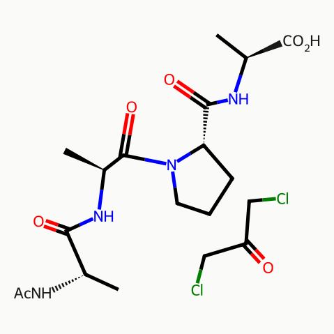 CC(=O)N[C@@H](C)C(=O)N[C@@H](C)C(=O)N1CCC[C@H]1C(=O)N[C@@H](C)C(=O)O.O=C(CCl)CCl